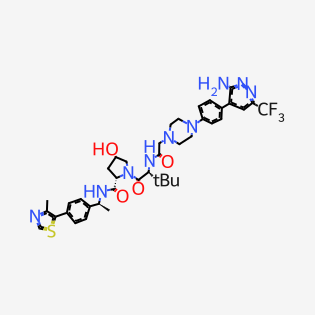 Cc1ncsc1-c1ccc([C@H](C)NC(=O)[C@@H]2C[C@@H](O)CN2C(=O)[C@@H](NC(=O)CN2CCN(c3ccc(-c4cc(C(F)(F)F)nnc4N)cc3)CC2)C(C)(C)C)cc1